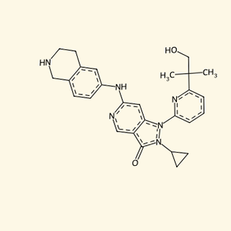 CC(C)(CO)c1cccc(-n2c3cc(Nc4ccc5c(c4)CCNC5)ncc3c(=O)n2C2CC2)n1